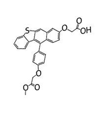 COC(=O)COc1ccc(-c2c3ccc(OCC(=O)O)cc3cc3sc4ccccc4c23)cc1